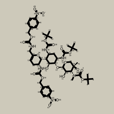 CN(C(=O)OC(C)(C)C)[C@@H]1[C@@H](O)[C@@H](O[C@H]2[C@H](NC(=O)OC(C)(C)C)C[C@H](NC(=O)OC(C)(C)C)C([C@H]3OC(CNC(=O)OCc4ccc([N+](=O)[O-])cc4)=CC[C@H]3NC(=O)OCc3ccc([N+](=O)[O-])cc3)[C@@H]2O)OC[C@]1(C)O